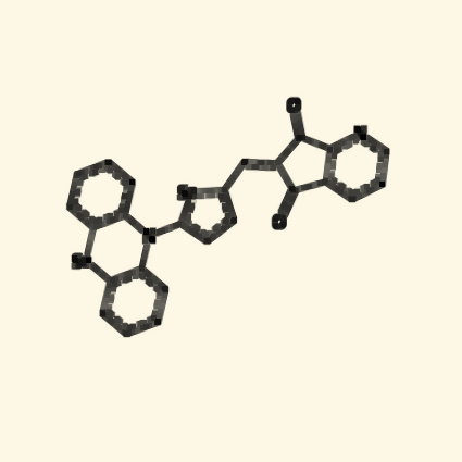 O=C1/C(=C\c2ccc(N3c4ccccc4[Se]c4ccccc43)[se]2)C(=O)c2ncccc21